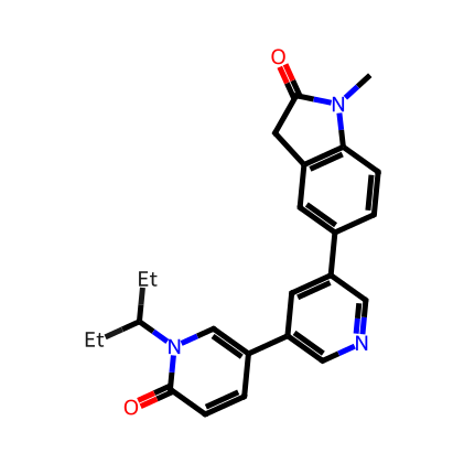 CCC(CC)n1cc(-c2cncc(-c3ccc4c(c3)CC(=O)N4C)c2)ccc1=O